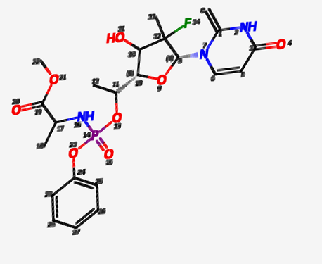 C=C1NC(=O)C=CN1[C@@H]1O[C@H](C(C)OP(=O)(NC(C)C(=O)OC)Oc2ccccc2)C(O)C1(C)F